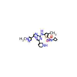 Cc1cc(Nc2nc(C3=CCCNC3)cn3c(-c4cnn(C)c4)cnc23)sc1S(=O)(=O)NC1CCC1